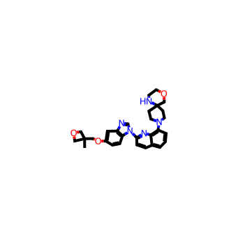 CC1(COc2ccc3c(c2)ncn3-c2ccc3cccc(N4CCC5(CC4)COCCN5)c3n2)COC1